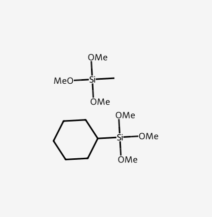 CO[Si](C)(OC)OC.CO[Si](OC)(OC)C1CCCCC1